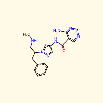 CNCC(Cc1ccccc1)n1cc(NC(=O)c2cncnc2N)cn1